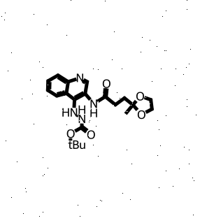 CC(C)(C)OC(=O)NNc1c(NC(=O)CCC2(C)OCCO2)cnc2ccccc12